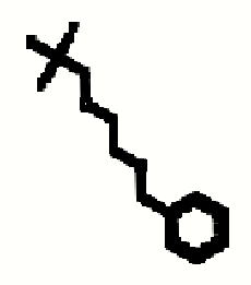 FC(F)(F)SOCCOCc1ccccc1